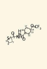 O=C(NNC(=O)C1CC=CS1)c1ccc(OC(F)(F)F)cc1